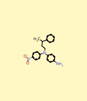 CC(CCN(c1ccc(N)cc1)c1ccc([N+](=O)[O-])cc1)c1ccccc1